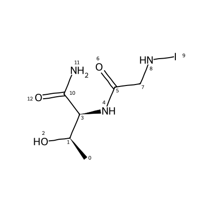 C[C@@H](O)[C@H](NC(=O)CNI)C(N)=O